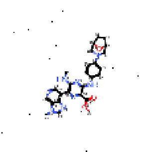 CNc1nc(Nc2ccc(N3CC4CCC(C3)O4)cc2)c(C(=O)OC)nc1-c1cncc2c1ncn2C